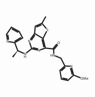 COc1cccc(CNC(=O)c2nc(N[C@@H](C)c3ccccn3)nc3cc(C)sc23)n1